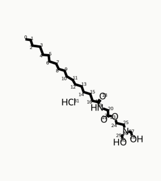 CCCCCCCCCCCCCCCCCC(=O)NCC(=O)OCCN(CO)CO.Cl